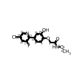 CONC(=O)COc1ccc(-c2ncc(Cl)cc2F)cc1O